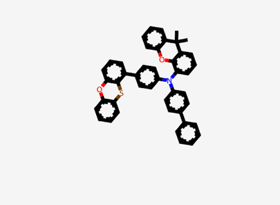 CC1(C)c2ccccc2Oc2c(N(c3ccc(-c4ccccc4)cc3)c3ccc(-c4cccc5c4Sc4ccccc4O5)cc3)cccc21